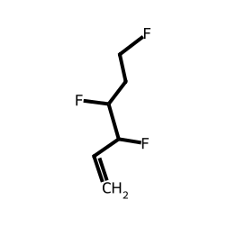 C=CC(F)C(F)CCF